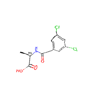 C[C@@H](NC(=O)c1cc(Cl)cc(Cl)c1)C(=O)O